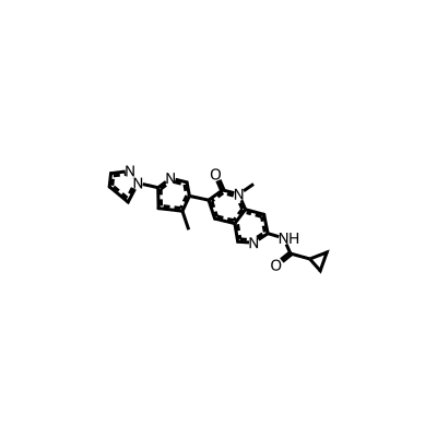 Cc1cc(-n2cccn2)ncc1-c1cc2cnc(NC(=O)C3CC3)cc2n(C)c1=O